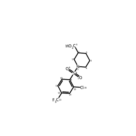 O=C(O)C1CCCN(S(=O)(=O)c2ccc(C(F)(F)F)cc2Cl)C1